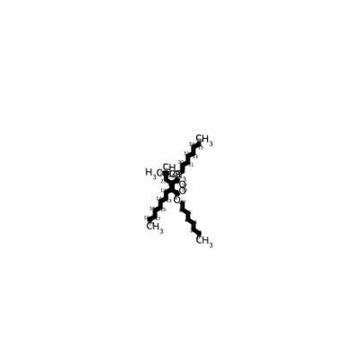 CCCCCCCCOC(=O)/C(CCCCCCCC)=C(/CC(C)(C)C)C(=O)OCCCCCCCC